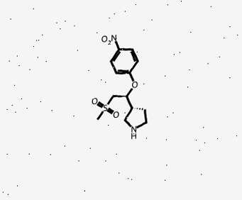 CS(=O)(=O)C[C@@H](Oc1ccc([N+](=O)[O-])cc1)[C@@H]1CCNC1